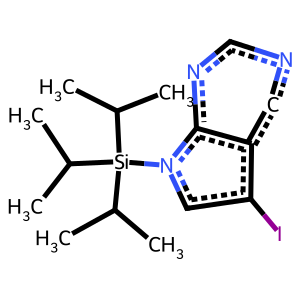 CC(C)[Si](C(C)C)(C(C)C)n1cc(I)c2cncnc21